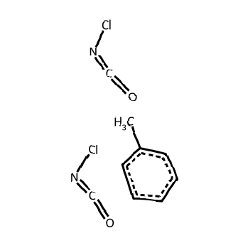 Cc1ccccc1.O=C=NCl.O=C=NCl